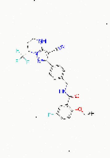 [2H]COc1ccc(F)cc1C(=O)NCc1ccc(-c2nn3c(c2C#N)NCCC3C(F)(F)F)cc1